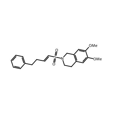 COc1cc2c(cc1OC)CN(S(=O)(=O)C=CCCc1ccccc1)CC2